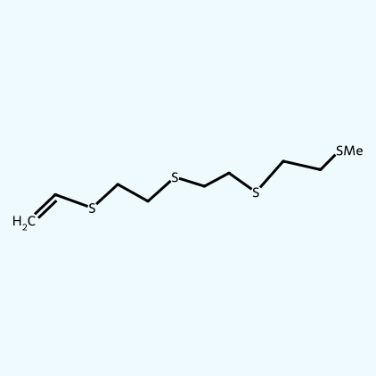 C=CSCCSCCSCCSC